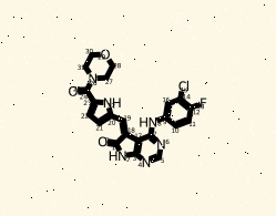 O=C1Nc2ncnc(Nc3ccc(F)c(Cl)c3)c2C1=Cc1ccc(C(=O)N2CCOCC2)[nH]1